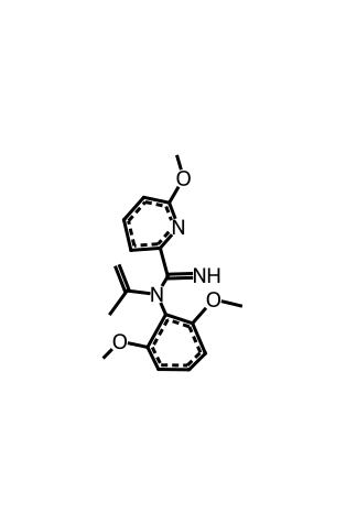 C=C(C)N(C(=N)c1cccc(OC)n1)c1c(OC)cccc1OC